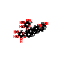 C[C@@H]1O[C@@H](O[C@H]2C[C@@H]3[C@]4(CC[C@]5(C)[C@@H]([C@@]6(C)CC[C@@H](C(C)(C)O)O6)[C@@H](O)C[C@@]35C)C[C@@]43CC[C@H](O[C@@H]4OC[C@@H](O)[C@H](O)[C@H]4O)C(C)(C)[C@H]23)[C@H](O)[C@H](O)[C@H]1O